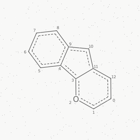 c1coc2c3ccccc3cc-2c1